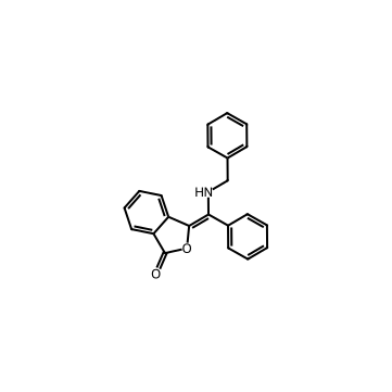 O=C1OC(=C(NCc2ccccc2)c2ccccc2)c2ccccc21